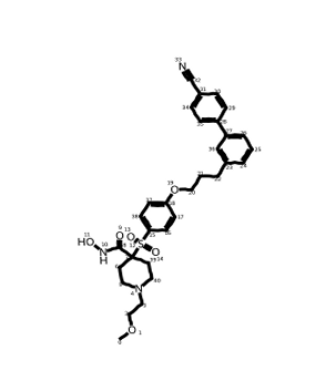 COCCN1CCC(C(=O)NO)(S(=O)(=O)c2ccc(OCCCc3cccc(-c4ccc(C#N)cc4)c3)cc2)CC1